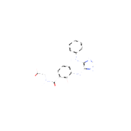 CN(CC(=O)O)C(=O)c1cccc(Nc2nsnc2Nc2ccccc2)c1O